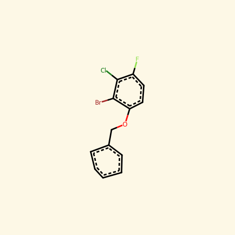 Fc1ccc(OCc2ccccc2)c(Br)c1Cl